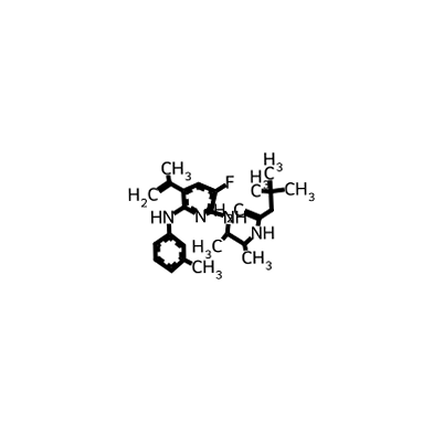 C=C(CC(C)(C)C)NC(C)C(C)Nc1nc(Nc2cccc(C)c2)c(C(=C)C)cc1F